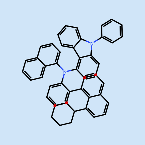 c1ccc(-n2c3ccccc3c3c(N(c4ccccc4-c4cccc5cccc(C6CCCCC6)c45)c4cccc5ccccc45)cccc32)cc1